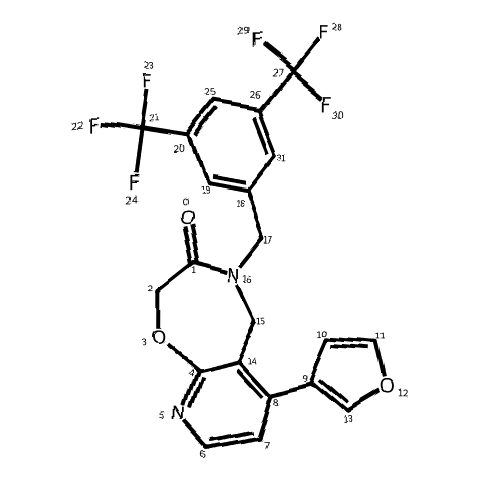 O=C1COc2nccc(-c3ccoc3)c2CN1Cc1cc(C(F)(F)F)cc(C(F)(F)F)c1